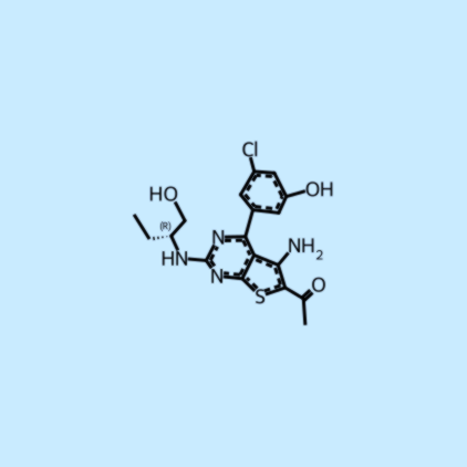 CC[C@H](CO)Nc1nc(-c2cc(O)cc(Cl)c2)c2c(N)c(C(C)=O)sc2n1